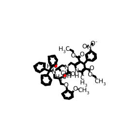 CCOC(=O)C1=C(C)NC(CN(CC(C)(C)N(CC(O)COc2ccccc2OC)C(c2ccccc2)(c2ccccc2)c2ccccc2)C(C)=O)=C(C(=O)OCC)C1c1cccc([N+](=O)[O-])c1